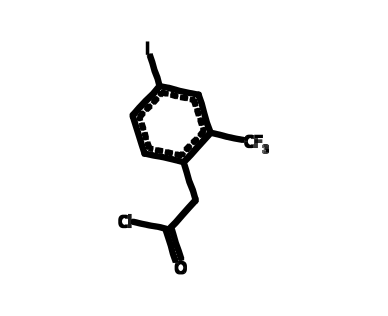 O=C(Cl)Cc1ccc(I)cc1C(F)(F)F